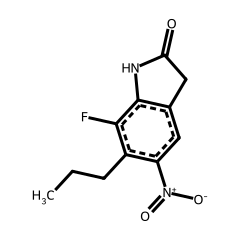 CCCc1c([N+](=O)[O-])cc2c(c1F)NC(=O)C2